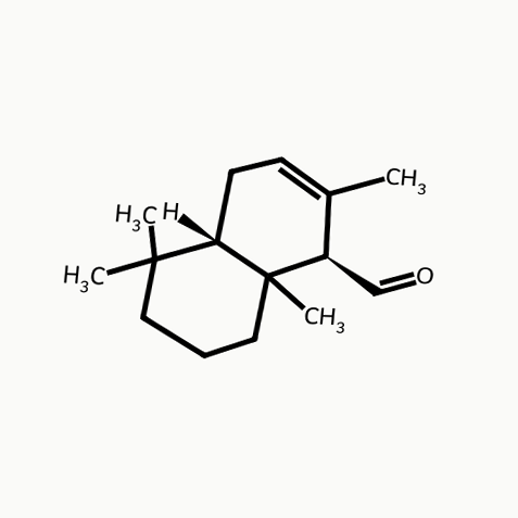 CC1=CC[C@H]2C(C)(C)CCCC2(C)[C@@H]1C=O